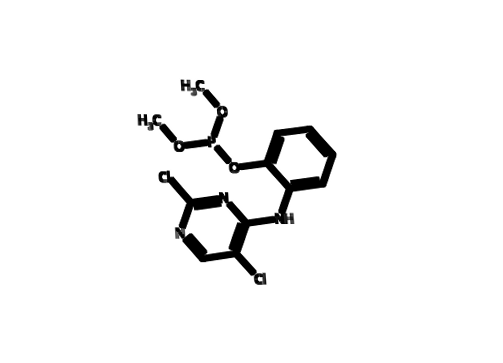 COP(OC)Oc1ccccc1Nc1nc(Cl)ncc1Cl